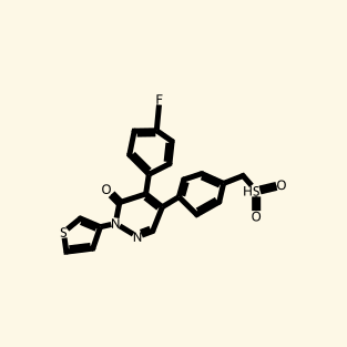 O=c1c(-c2ccc(F)cc2)c(-c2ccc(C[SH](=O)=O)cc2)cnn1-c1ccsc1